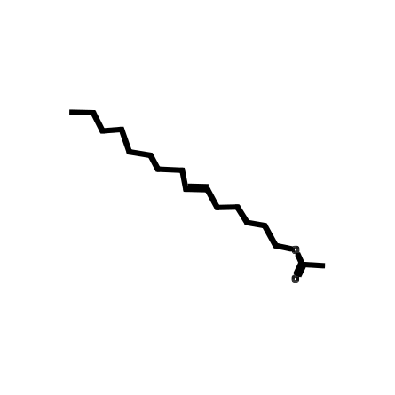 CCCCCCCCC=CCCCCCOC(C)=O